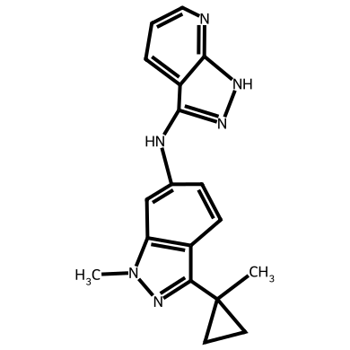 Cn1nc(C2(C)CC2)c2ccc(Nc3n[nH]c4ncccc34)cc21